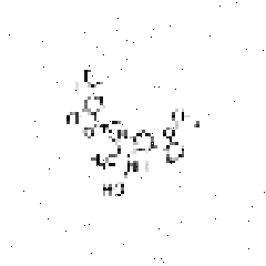 CCOc1ccccc1-c1ccc(N2CCN(C(=O)c3ccc(C(F)(F)F)cc3Cl)CC2CC)c(CNCCO)c1